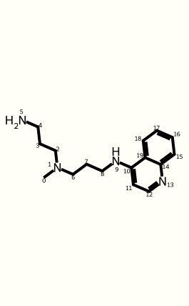 CN(CCCN)CCCNc1ccnc2ccccc12